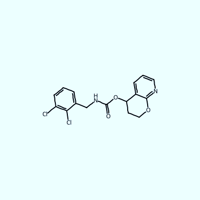 O=C(NCc1cccc(Cl)c1Cl)OC1CCOc2ncccc21